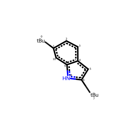 CC(C)(C)c1ccc2cc(C(C)(C)C)[nH]c2c1